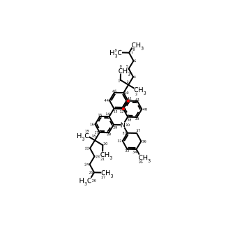 CCC(C)(CCCC(C)C)C1=C=C=C(c2ccc(C(C)(CC)CCCC(C)C)cc2N(C2=CC=C(C)CC2)c2ccccc2)C=C1